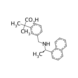 C[C@@H](NCc1cccc(C(C)(C)C(=O)O)c1)c1cccc2ccccc12